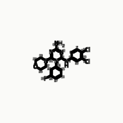 NC1=NC(Nc2ccc(Cl)c(Cl)c2)N(c2cccc(F)c2)C(N2CCOCC2)=N1